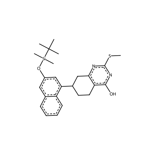 CSc1nc(O)c2c(n1)CC(c1cc(O[Si](C)(C)C(C)(C)C)cc3ccccc13)CC2